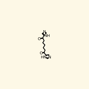 O=C(CCCCCC(=O)c1cnc[nH]1)c1cnc[nH]1